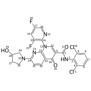 O=C(Nc1c(Cl)cccc1Cl)c1cn(-c2ncc(F)cc2F)c2nc(N3CCC(O)C3)ccc2c1=O